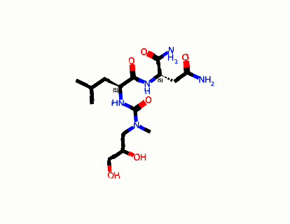 CC(C)C[C@H](NC(=O)N(C)CC(O)CO)C(=O)N[C@@H](CC(N)=O)C(N)=O